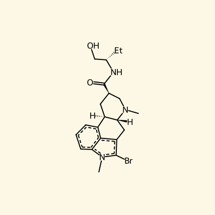 CC[C@@H](CO)NC(=O)[C@@H]1C[C@@H]2c3cccc4c3c(c(Br)n4C)C[C@H]2N(C)C1